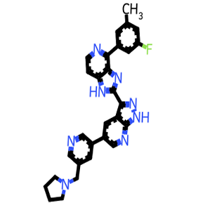 Cc1cc(F)cc(-c2nccc3[nH]c(-c4n[nH]c5ncc(-c6cncc(CN7CCCC7)c6)cc45)nc23)c1